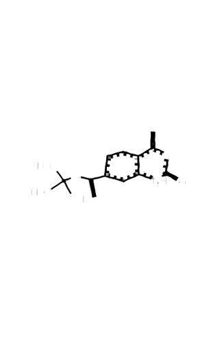 CC(C)(C)OC(=O)c1ccc2c(=O)oc(=O)[nH]c2c1